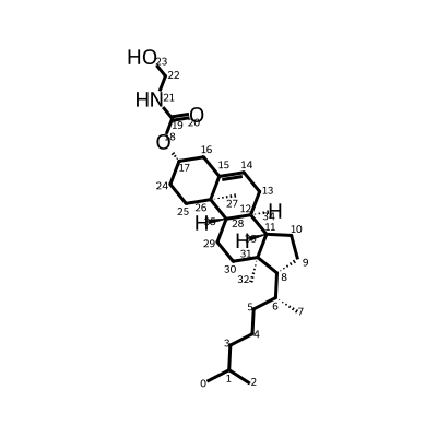 CC(C)CCC[C@@H](C)[C@H]1CC[C@H]2[C@@H]3CC=C4C[C@@H](OC(=O)NCO)CC[C@]4(C)[C@H]3CC[C@]12C